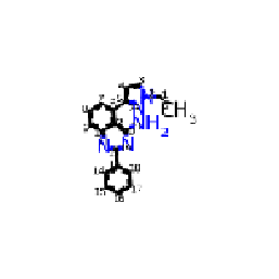 CCn1ccc(-c2cccc3nc(-c4ccccc4)nc(N)c23)n1